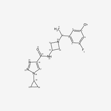 CC(c1cc(F)cc(Cl)c1)N1CC(NC(=O)c2cn(C3CC3)nn2)C1